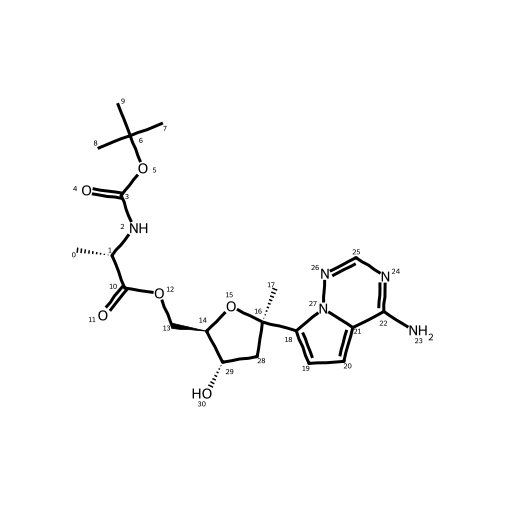 C[C@H](NC(=O)OC(C)(C)C)C(=O)OC[C@H]1O[C@@](C)(c2ccc3c(N)ncnn23)C[C@@H]1O